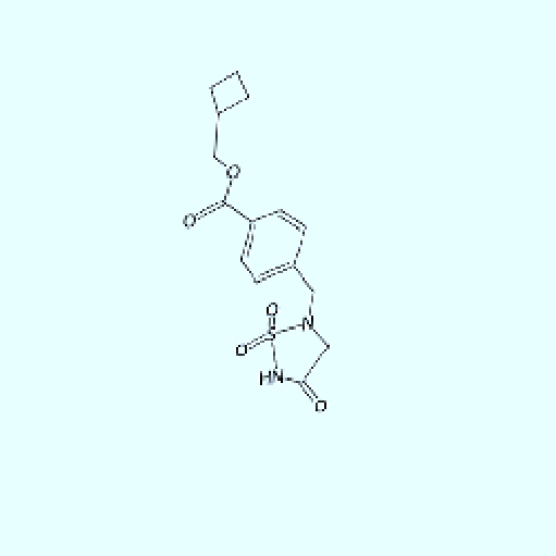 O=C1CN(Cc2ccc(C(=O)OCC3CCC3)cc2)S(=O)(=O)N1